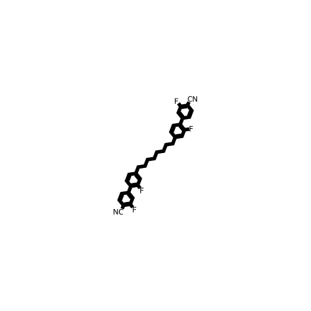 N#Cc1ccc(-c2ccc(CCCCCCCCc3ccc(-c4ccc(C#N)c(F)c4)c(F)c3)cc2F)cc1F